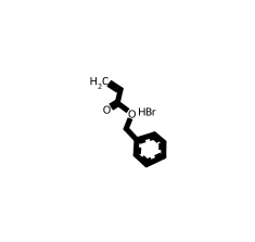 Br.C=CC(=O)OCc1ccccc1